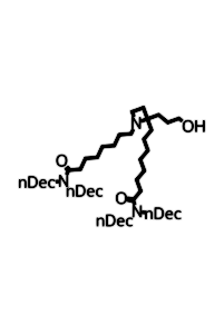 CCCCCCCCCCN(CCCCCCCCCC)C(=O)CCCCCCCN1CCC1(CCCO)CCCCCCCC(=O)N(CCCCCCCCCC)CCCCCCCCCC